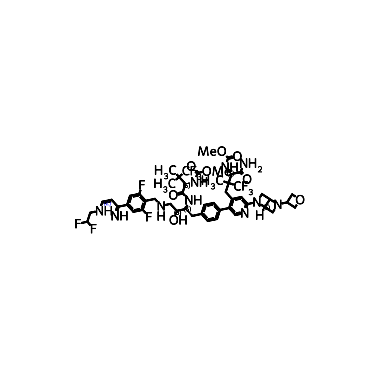 COC(=O)N[C@H](C(=O)N[C@@H](Cc1ccc(-c2cnc(N3CC4[C@@H]3CN4C3COC3)cc2CC(C)([C@H](NC(=O)OC)C(N)=O)C(F)(F)F)cc1)[C@@H](O)CNCc1c(F)cc(C(=N)/C=C\NCC(F)F)cc1F)C(C)(C)C(F)(F)F